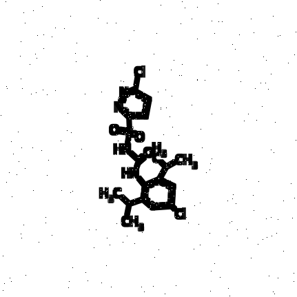 CC(C)c1cc(Cl)cc(C(C)C)c1NC(=O)NS(=O)(=O)c1ccc(Cl)nn1